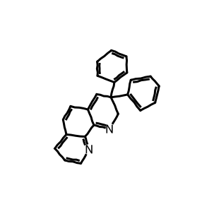 C1=c2ccc3cccnc3c2=NCC1(c1ccccc1)c1ccccc1